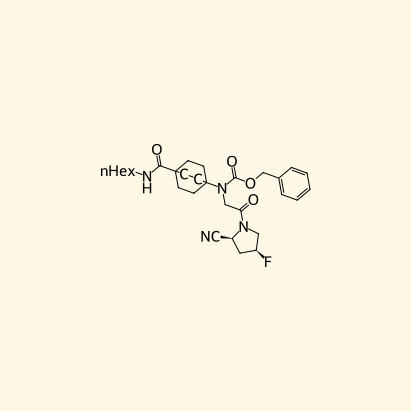 CCCCCCNC(=O)C12CCC(N(CC(=O)N3C[C@@H](F)C[C@H]3C#N)C(=O)OCc3ccccc3)(CC1)CC2